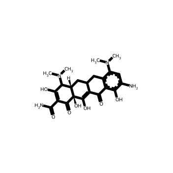 CN(C)c1cc(N)c(O)c2c1CC1C[C@H]3C(N(C)C)C(O)=C(C(N)=O)C(=O)[C@@]3(O)C(O)=C1C2=O